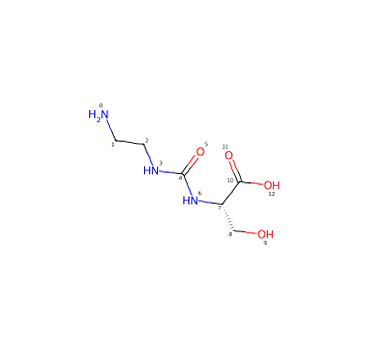 NCCNC(=O)N[C@@H](CO)C(=O)O